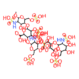 COC1OC(COS(=O)(=O)O)C(OC2OC(C(=O)O)C(OC3OC(COS(=O)(=O)O)C(OC4OC(C(=O)O)C(OC5OC(COS(=O)(=O)O)C(O)C(O)C5NS(=O)(=O)O)C(O)C4O)C(OS(=O)(=O)O)C3NS(=O)(=O)O)C(O)C2OS(=O)(=O)O)C(O)C1NS(=O)(=O)O